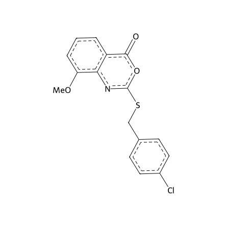 COc1cccc2c(=O)oc(SCc3ccc(Cl)cc3)nc12